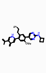 C=C(C)C1=CNC(c2cc(OC)c(-c3cnc(NC4CCC4)nc3)cc2CCC(C)C)=CC1=C